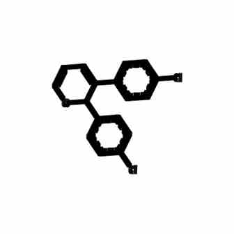 Clc1ccc(C2=CC=COC2c2ccc(Cl)cc2)cc1